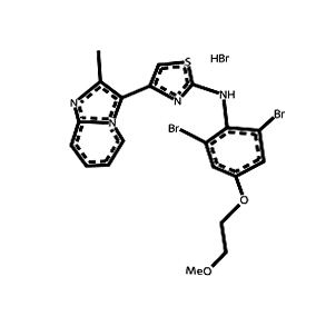 Br.COCCOc1cc(Br)c(Nc2nc(-c3c(C)nc4ccccn34)cs2)c(Br)c1